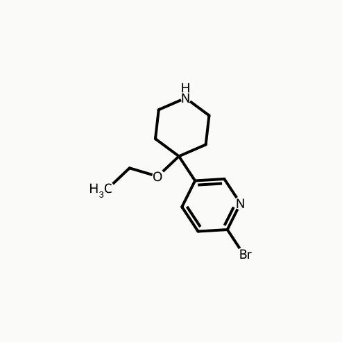 CCOC1(c2ccc(Br)nc2)CCNCC1